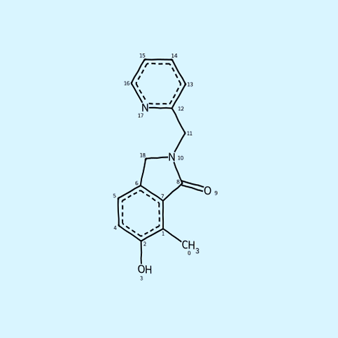 Cc1c(O)ccc2c1C(=O)N(Cc1ccccn1)C2